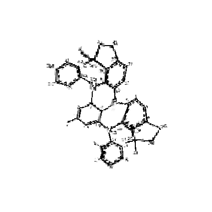 CC1=CC2C3B(c4ccc5c(c4N(c4ccccc4)C3=C1)C(C)(C)CC5)c1ccc3c(c1N2c1ccccc1)C(C)(C)CC3